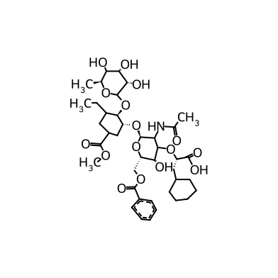 CCC1CC(C(=O)OC)C[C@@H](O[C@@H]2O[C@@H](COC(=O)c3ccccc3)[C@H](O)C(O[C@@H](CC3CCCCC3)C(=O)O)C2NC(C)=O)[C@@H]1OC1O[C@@H](C)C(O)[C@H](O)[C@@H]1O